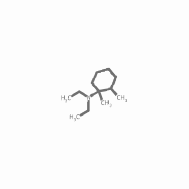 CCN(CC)C1(C)CCCCC1C